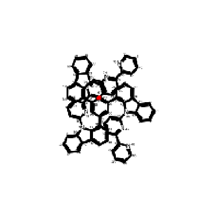 c1ccc(-c2cccc(-n3c4ccccc4c4cccc(-c5cc(-c6cccc7c8ccccc8n(-c8cccc(-c9ccccn9)n8)c67)cc(-c6cccc7c8ccccc8n(-c8cccc(-c9ccccn9)n8)c67)c5)c43)n2)nc1